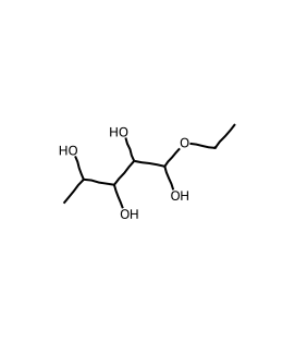 CCOC(O)C(O)C(O)C(C)O